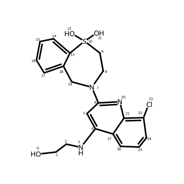 OCCNc1cc(N2CCS(O)(O)c3ccccc3C2)nc2c(Cl)cccc12